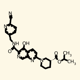 CC(C)OC(=O)[C@@H]1CCCN(c2ccc3c(O)c(C(=O)NCc4ccc(C#N)nc4)ncc3n2)C1